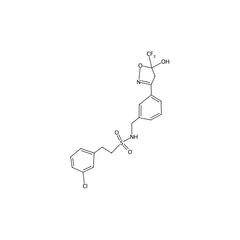 O=S(=O)(CCc1cccc(Cl)c1)NCc1cccc(C2=NOC(O)(C(F)(F)F)C2)c1